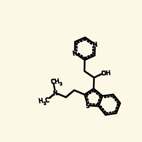 CN(C)CCc1sc2ccccc2c1C(O)Cc1cnccn1